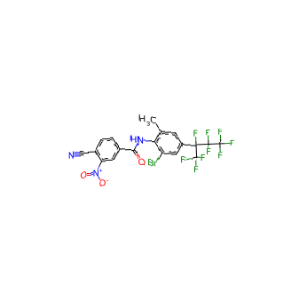 Cc1cc(C(F)(C(F)(F)F)C(F)(F)C(F)(F)F)cc(Br)c1NC(=O)c1ccc(C#N)c([N+](=O)[O-])c1